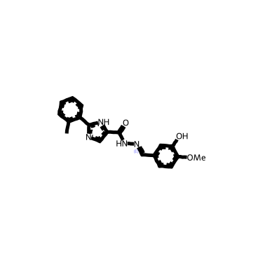 COc1ccc(/C=N/NC(=O)c2cnc(-c3ccccc3C)[nH]2)cc1O